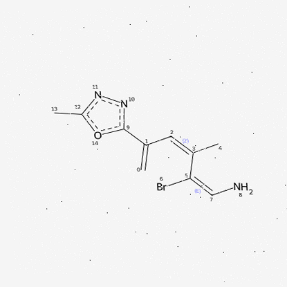 C=C(/C=C(C)\C(Br)=C/N)c1nnc(C)o1